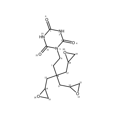 O=c1[nH]c(=O)n(CCC(CC2CO2)(CC2CO2)CC2CO2)c(=O)[nH]1